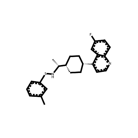 Cc1cccc(SN[C@H](C)[C@H]2CC[C@@H](c3ccnc4ccc(F)cc43)CC2)c1